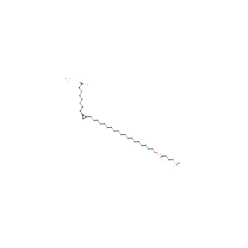 COC(=O)CCCCCCCC1CC1CCCCCCCCCCCCCCCCCCCCOC(=O)CCCN(C)C